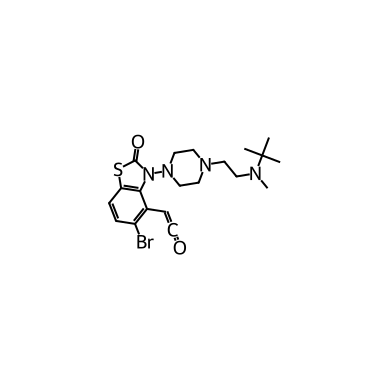 CN(CCN1CCN(n2c(=O)sc3ccc(Br)c(C=C=O)c32)CC1)C(C)(C)C